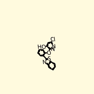 Oc1cc(Cl)nnc1Oc1ccccc1-c1nc2ccccc2s1